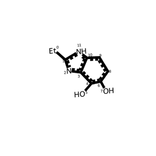 CCc1nc2c(O)c(O)ccc2[nH]1